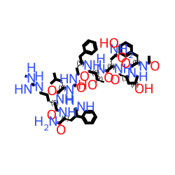 CNC(=N)NCCC[C@H](NC(=O)[C@H](CC(C)C)NC(=O)NCC[C@H](Cc1ccccc1)NC(=O)[C@@H](NC(=O)[C@H](CC(N)=O)NC(=O)[C@@H]1C[C@@H](O)CN1C(=O)[C@@H](Cc1ccc(O)cc1)NC(C)=O)[C@@H](C)O)C(=O)N[C@@H](Cc1c[nH]c2ccccc12)C(N)=O